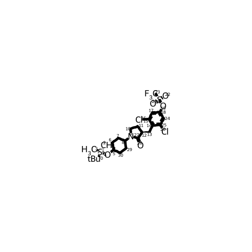 CC(C)(C)[Si](C)(C)OC1CCC(N2CC[C@@H](Cc3c(Cl)cc(OS(=O)(=O)C(F)(F)F)cc3Cl)C2=O)CC1